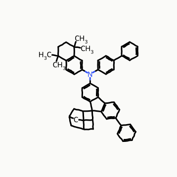 CC1(C)CCC(C)(C)c2cc(N(c3ccc(-c4ccccc4)cc3)c3ccc4c(c3)-c3ccc(-c5ccccc5)cc3C43C4CC5CC6CC3C64C5)ccc21